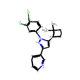 CC1(C)[CH]C[C@H]1c1cc(-c2cccnc2)nn1-c1ccc(Cl)c(Cl)c1